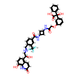 O=C(COc1cccc(C(O)(C(=O)O)c2ccccc2)c1)NC1CC(NC(=O)c2ccc(CNCC(O)c3ccc(O)c4[nH]c(=O)ccc34)c(C(F)(F)F)c2)C1